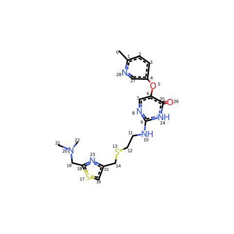 Cc1ccc(Oc2cnc(NCCSCc3csc(CN(C)C)n3)[nH]c2=O)cn1